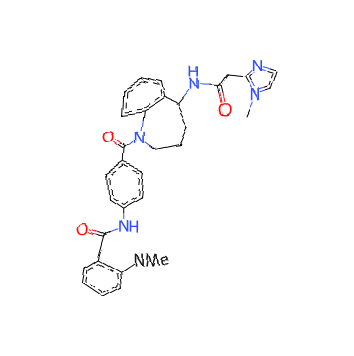 CNc1ccccc1C(=O)Nc1ccc(C(=O)N2CCCC(NC(=O)Cc3nccn3C)c3ccccc32)cc1